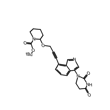 CC(C)(C)OC(=O)N1CCCCC1OCC#Cc1cccc2c(N3CCC(=O)NC3=O)cncc12